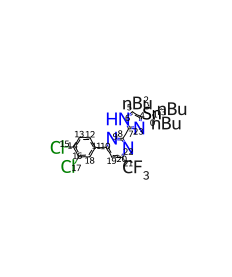 CCC[CH2][Sn]([CH2]CCC)([CH2]CCC)[c]1c[nH]c(-c2nc(-c3ccc(Cl)c(Cl)c3)cc(C(F)(F)F)n2)n1